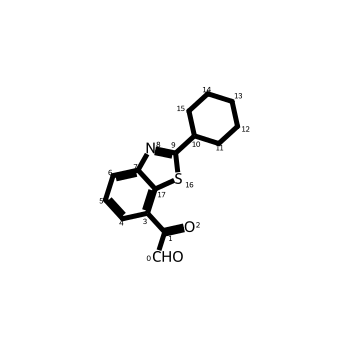 O=CC(=O)c1cccc2nc(C3CCCCC3)sc12